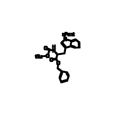 CCCCCn1cc(CC(NC(=O)OC(C)(C)C)C(=O)OCc2ccccc2)c2ccccc21